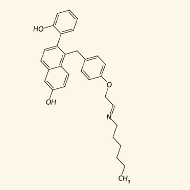 CCCCCCN=CCOc1ccc(Cc2c(-c3ccccc3O)ccc3cc(O)ccc23)cc1